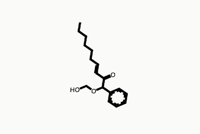 CCCCCCC=CC(=O)C(OCO)c1ccccc1